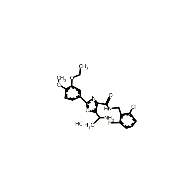 CCOc1cc(-c2nc(C(=O)NCc3c(F)cccc3Cl)c(C(C)N)o2)ccc1OC.Cl